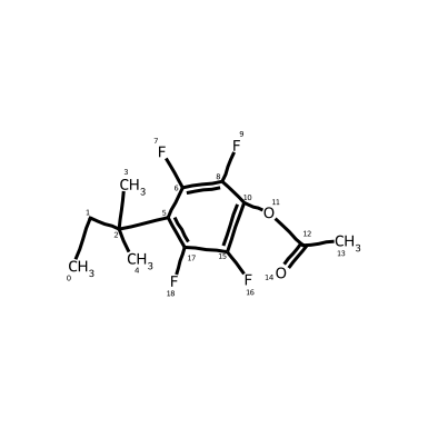 CCC(C)(C)c1c(F)c(F)c(OC(C)=O)c(F)c1F